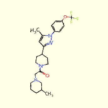 Cc1cc(C2CCN(C(=O)CN3CCCC(C)C3)CC2)nn1-c1ccc(OC(F)(F)F)cc1